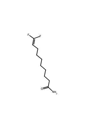 NC(=O)CCCCCCCC=C(F)F